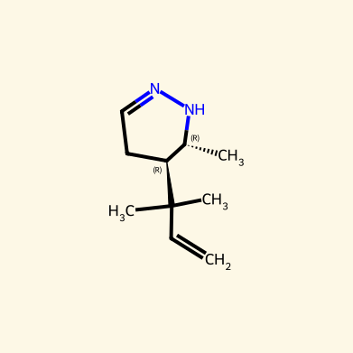 C=CC(C)(C)[C@H]1CC=NN[C@@H]1C